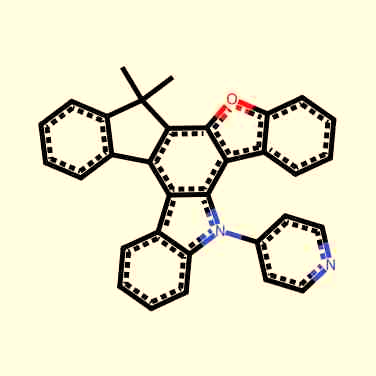 CC1(C)c2ccccc2-c2c1c1oc3ccccc3c1c1c2c2ccccc2n1-c1ccncc1